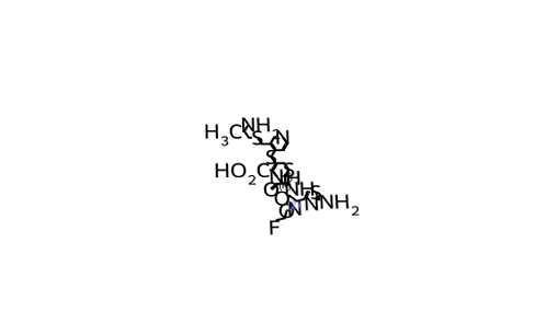 CC(N)CSCc1cnccc1SC1=C(C(=O)O)N2C(=O)[C@@H](NC(=O)/C(=N\OCCF)c3csc(N)n3)[C@@H]2SC1